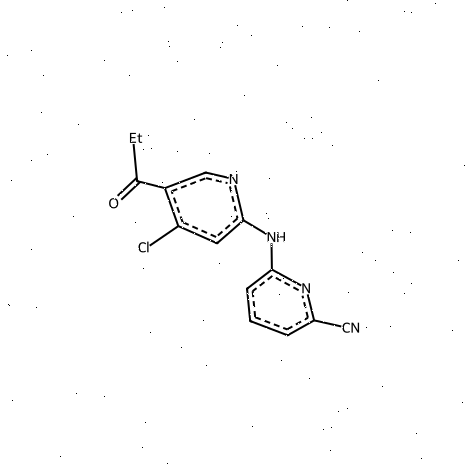 CCC(=O)c1cnc(Nc2cccc(C#N)n2)cc1Cl